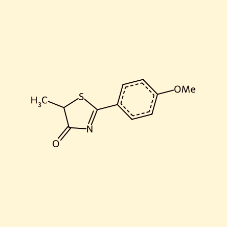 COc1ccc(C2=NC(=O)C(C)S2)cc1